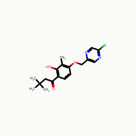 Cc1c(OCc2cnc(Br)cn2)ccc(C(=O)CC(C)(C)C)c1O